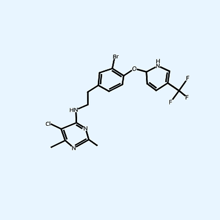 Cc1nc(C)c(Cl)c(NCCc2ccc(OC3C=CC(C(F)(F)F)=CN3)c(Br)c2)n1